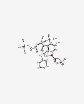 O=C(NCC(F)(F)F)N[C@@](Cc1ccccc1)(c1cc(F)cc(OCC(F)(F)F)c1)c1ccc(F)c(C(F)(F)F)c1